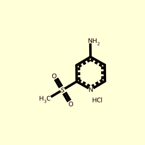 CS(=O)(=O)c1cc(N)ccn1.Cl